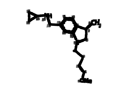 COCCCCN1CC(C)c2ccc(CNC3CC3)cc21